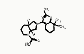 CC1(C)CCCc2c(N3C[C@H]4CCCN(C(=O)O)[C@H]4C3)nc(N)nc21